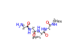 CCCCCCNC(=O)CNC(=O)[C@H](CC(C)C)NC(=O)CNC(=O)CN